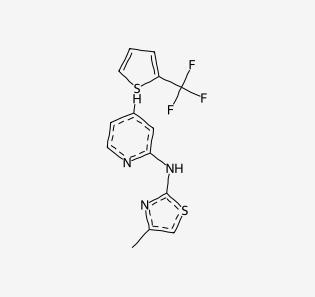 Cc1csc(Nc2cc([SH]3C=CC=C3C(F)(F)F)ccn2)n1